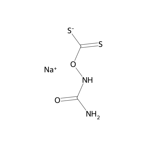 NC(=O)NOC(=S)[S-].[Na+]